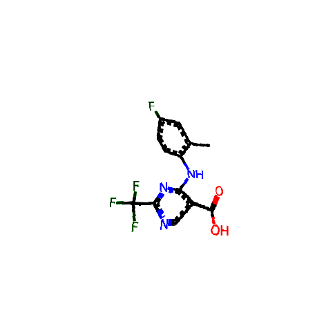 Cc1cc(F)ccc1Nc1nc(C(F)(F)F)ncc1C(=O)O